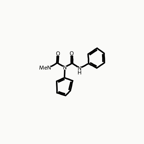 CNC(=O)N(C(=O)Nc1ccccc1)c1ccccc1